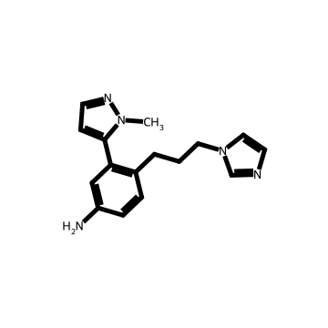 Cn1nccc1-c1cc(N)ccc1CCCn1ccnc1